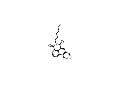 CCCCCCN1C(=O)c2cccc3c(O)c(C=O)cc(c23)C1=O